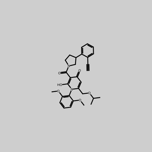 C#Cc1ccccc1C1CCN(C(=O)c2c(O)n(-c3c(OC)cccc3OC)c(COC(C)C)cc2=O)C1